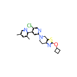 Cc1cnc(-c2cc(N3CCc4nc(OC5CCC5)sc4C3)ncc2Cl)c(C)c1